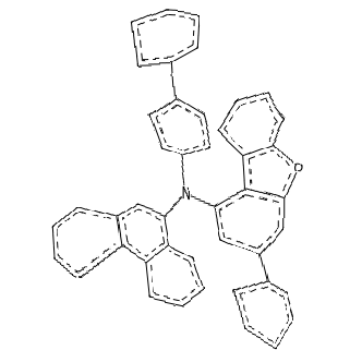 c1ccc(-c2ccc(N(c3cc4ccccc4c4ccccc34)c3cc(-c4ccccc4)cc4oc5ccccc5c34)cc2)cc1